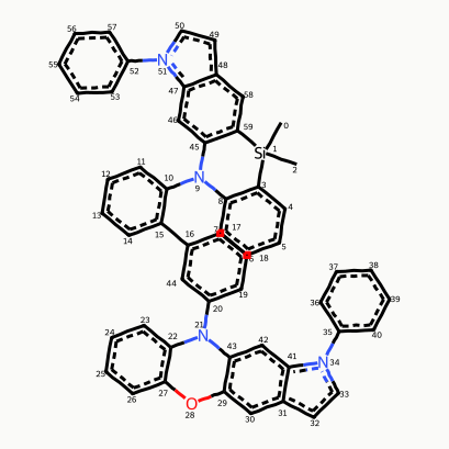 C[Si]1(C)c2ccccc2N(c2ccccc2-c2cccc(N3c4ccccc4Oc4cc5ccn(-c6ccccc6)c5cc43)c2)c2cc3c(ccn3-c3ccccc3)cc21